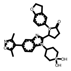 Cc1noc(C)c1-c1ccc2c(c1)nc(C1CCC(=O)N1c1ccc3c(c1)CCO3)n2C1CCS(O)(O)CC1